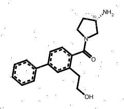 N[C@H]1CCN(C(=O)c2ccc(-c3cc[c]cc3)cc2CCO)C1